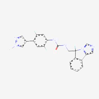 Cn1cc(-c2cc(F)c(NC(=O)NCC3(F)c4ccccc4-c4cncn43)cc2F)cn1